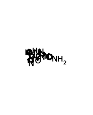 Nc1ncc(N2CCC(N)CC2)nc1C(=O)Nc1cnccc1-c1ccccc1